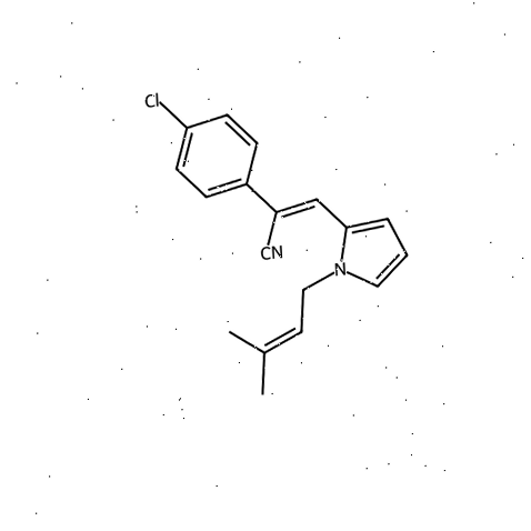 CC(C)=CCn1cccc1C=C(C#N)c1ccc(Cl)cc1